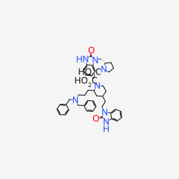 O=C(O)N1CCC(CCn2c(=O)[nH]c3ccccc32)CC1CCCN(Cc1ccccc1)Cc1ccccc1.O=C(O)N1CCC[C@H]1Cn1c(=O)[nH]c2ccccc21